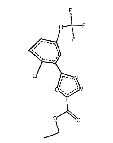 CCOC(=O)c1nnc(-c2cc(OC(F)(F)F)ccc2Cl)o1